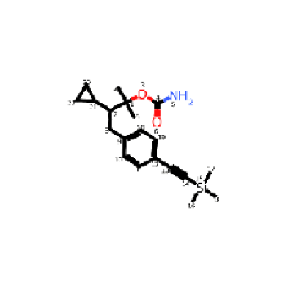 CC(C)(OC(N)=O)C(Cc1ccc(C#C[Si](C)(C)C)cc1)C1CC1